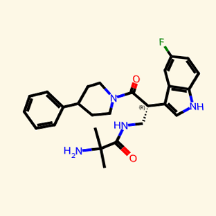 CC(C)(N)C(=O)NC[C@H](C(=O)N1CCC(c2ccccc2)CC1)c1c[nH]c2ccc(F)cc12